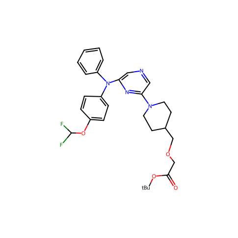 CC(C)(C)OC(=O)COCC1CCN(c2cncc(N(c3ccccc3)c3ccc(OC(F)F)cc3)n2)CC1